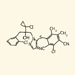 Cc1c(C)c(Sc2ncnn2CC(O)(Cc2ccccc2Cl)C2(Cl)CC2)c(C#N)c(Cl)c1C#N